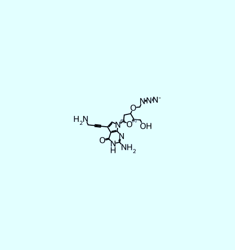 [N-]=[N+]=NCOC1C[C@H](n2cc(C#CCN)c3c(=O)[nH]c(N)nc32)O[C@@H]1CO